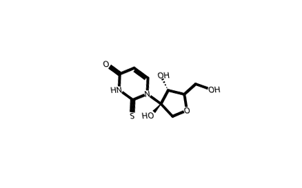 O=c1ccn([C@@]2(O)COC(CO)[C@H]2O)c(=S)[nH]1